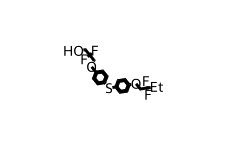 CCC(F)(F)COc1ccc(Sc2ccc(OCC(F)(F)CO)cc2)cc1